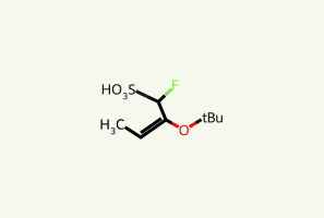 CC=C(OC(C)(C)C)C(F)S(=O)(=O)O